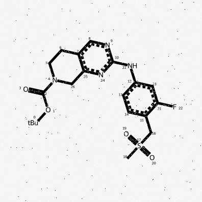 CC(C)(C)OC(=O)N1CCc2cnc(Nc3ccc(CS(C)(=O)=O)c(F)c3)nc2C1